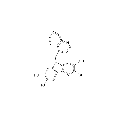 Oc1cc2c(cc1O)C(Cc1ccnc3ccccc13)c1cc(O)c(O)cc1-2